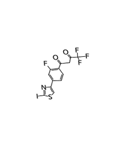 O=C(CC(=O)C(F)(F)F)c1ccc(-c2csc(I)n2)cc1F